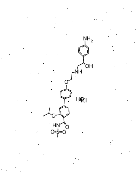 CC(C)Oc1cc(-c2ccc(OCCNC[C@H](O)c3ccc(N)cc3)cc2)ccc1C(=O)NS(C)(=O)=O.Cl.Cl